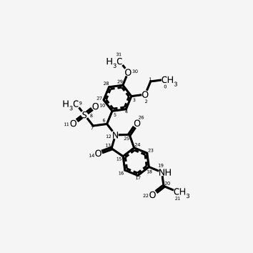 CCOc1cc(C(CS(C)(=O)=O)N2C(=O)c3ccc(NC(C)=O)cc3C2=O)ccc1OC